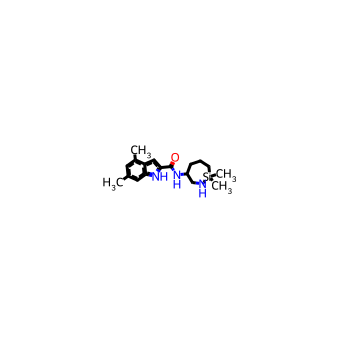 Cc1cc(C)c2cc(C(=O)NC3CCC[Si](C)(C)NC3)[nH]c2c1